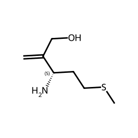 C=C(CO)[C@@H](N)CCSC